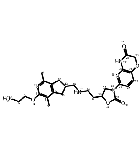 Cc1nc(OCCN)c(C)c2c1CC(CNCCC1CN(c3ccc4c(n3)NC(=O)CO4)C(=O)O1)C2